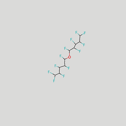 FC(F)C(F)C(F)C(F)C(F)OC(F)C(F)C(F)C(F)C(F)F